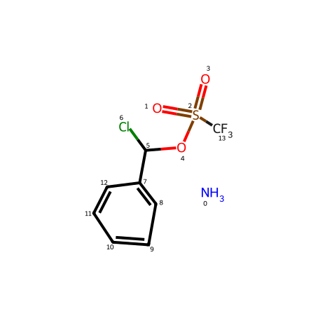 N.O=S(=O)(OC(Cl)c1ccccc1)C(F)(F)F